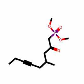 CCC#CCC(C)CC(=O)CP(=O)(OC)OC